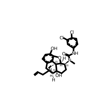 C=CCN1CC[C@]23c4c5ccc(O)c4O[C@H]2[C@@H](N(C)C(=O)Nc2ccc(Cl)c(Cl)c2)CC[C@@]3(O)[C@H]1C5